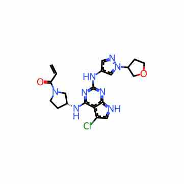 C=CC(=O)N1CC[C@@H](Nc2nc(Nc3cnn(C4CCOC4)c3)nc3[nH]cc(Cl)c23)C1